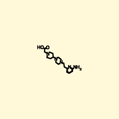 Nc1cccc(CCN2CCN(C3CCN(CC(=O)O)CC3)CC2)n1